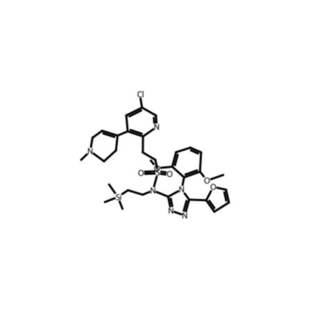 COc1cccc(OC)c1-n1c(-c2ccco2)nnc1N(CC[Si](C)(C)C)S(=O)(=O)CCc1ncc(Cl)cc1C1=CCN(C)CC1